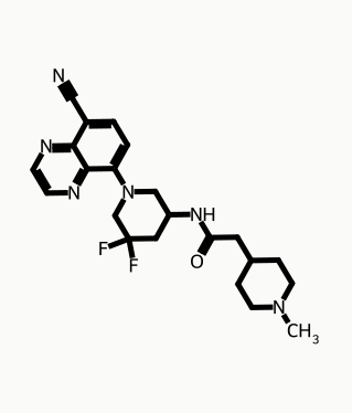 CN1CCC(CC(=O)NC2CN(c3ccc(C#N)c4nccnc34)CC(F)(F)C2)CC1